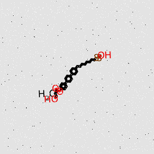 C=C(CO)C(=O)Oc1ccc(C2CCC(C3CCC(CCCCCCCCSSO)CC3)CC2)cc1